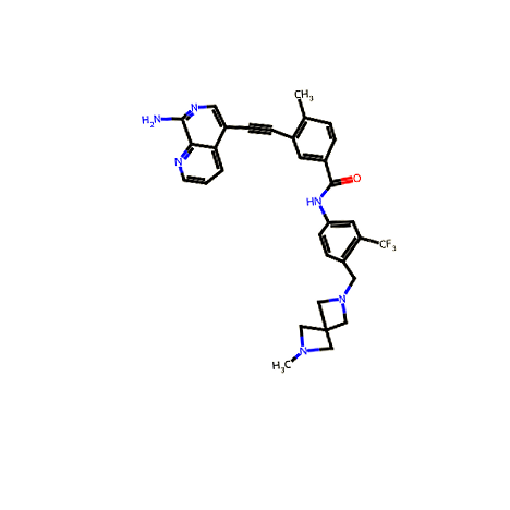 Cc1ccc(C(=O)Nc2ccc(CN3CC4(CN(C)C4)C3)c(C(F)(F)F)c2)cc1C#Cc1cnc(N)c2ncccc12